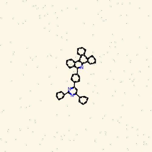 c1ccc(-c2cc(-c3ccc(-c4nc5c6ccccc6c6ccccc6c5c5ccccc45)cc3)nc(-c3ccccc3)n2)cc1